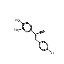 N#CC(=Cc1ccc(Cl)cc1)c1ccc(O)c(O)c1